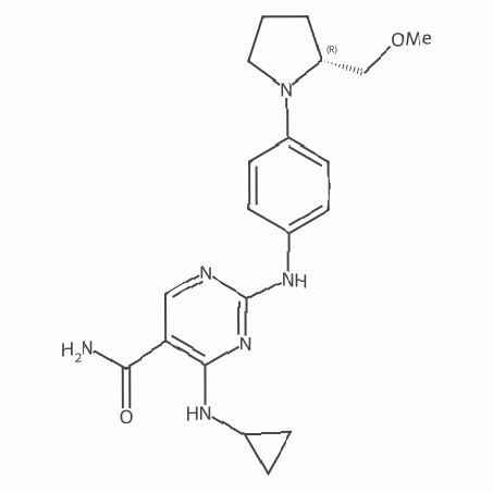 COC[C@H]1CCCN1c1ccc(Nc2ncc(C(N)=O)c(NC3CC3)n2)cc1